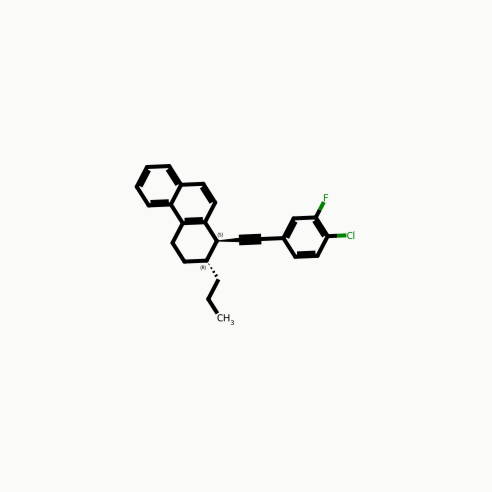 CCC[C@@H]1CCc2c(ccc3ccccc23)[C@H]1C#Cc1ccc(Cl)c(F)c1